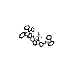 CC1(C)c2cc(Cc3ccc4c(c3)-c3ccccc3C4(c3ccccc3)c3ccccc3)ccc2-c2ccc(-n3c4ccccc4c4ccccc43)cc21